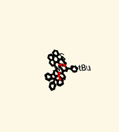 CC(C)(C)c1ccc(-c2ccc(N(c3ccc4c(c3)-c3ccccc3C4(c3ccccc3)c3ccccc3)c3ccc4ccccc4c3-c3cccc4sc5ccccc5c34)c(-c3ccccc3)c2)cc1